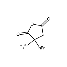 CCCC1([SiH3])CC(=O)OC1=O